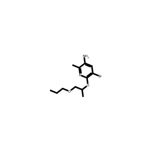 CCCOCC(C)Oc1nc(C)c(N)cc1Br